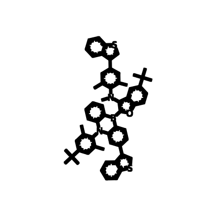 Cc1cc(-c2csc3ccccc23)cc(C)c1N(C)c1c(B2c3ccccc3N(c3c(C)cc(C(C)(C)C)cc3C)c3cc(-c4csc5ccccc45)ccc32)oc2ccc(C(C)(C)C)cc12